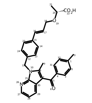 Cc1ccc(C(=O)c2c(C)n(Cc3ccc(C=CCO[C@H](C)C(=O)O)cc3)c3ncccc23)cc1